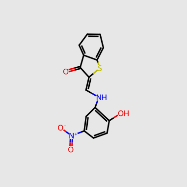 O=C1C(=CNc2cc([N+](=O)[O-])ccc2O)Sc2ccccc21